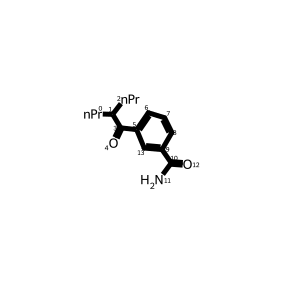 CCCC(CCC)C(=O)c1cccc(C(N)=O)c1